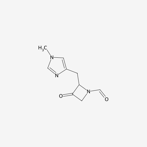 Cn1cnc(CC2C(=O)CN2C=O)c1